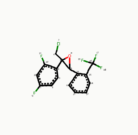 Fc1ccc(C2(CCl)OC2c2ccccc2C(F)(F)F)c(F)c1